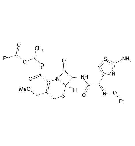 CCO/N=C(/C(=O)NC1C(=O)N2C(C(=O)OC(C)OC(=O)CC)=C(COC)CS[C@H]12)c1csc(N)n1